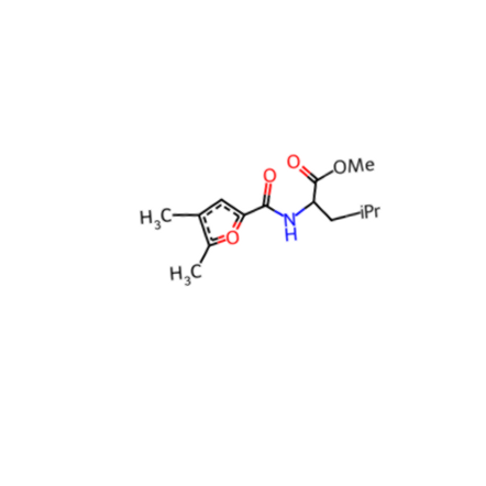 COC(=O)C(CC(C)C)NC(=O)c1cc(C)c(C)o1